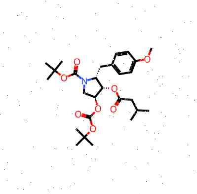 COc1ccc(C[C@@H]2[C@H](OC(=O)CC(C)C)[C@@H](OC(=O)OC(C)(C)C)CN2C(=O)OC(C)(C)C)cc1